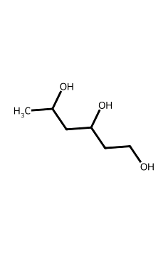 CC(O)CC(O)CCO